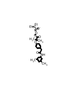 CCN(CC)[N+]([O-])=NOOC(=O)C(C)(C)Oc1ccc(CC(=O)Nc2cc(C)cc(C)c2)cc1